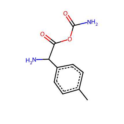 Cc1ccc(C(N)C(=O)OC(N)=O)cc1